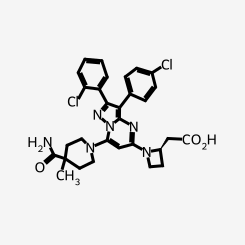 CC1(C(N)=O)CCN(c2cc(N3CC[C@@H]3CC(=O)O)nc3c(-c4ccc(Cl)cc4)c(-c4ccccc4Cl)nn23)CC1